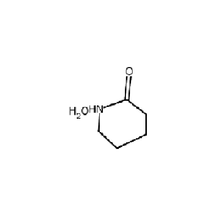 O.O=C1CCCCN1